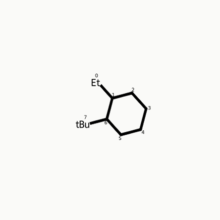 CC[C]1CCCCC1C(C)(C)C